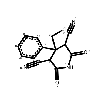 N#CC1C(=O)NC(=O)C(C#N)C1(CCl)c1ccccc1